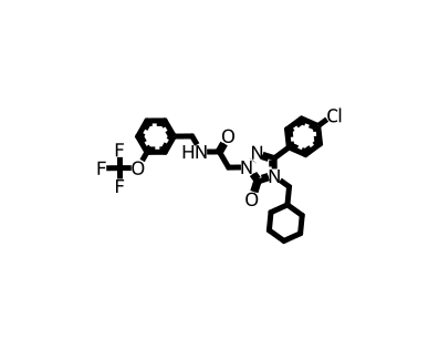 O=C(Cn1nc(-c2ccc(Cl)cc2)n(CC2CCCCC2)c1=O)NCc1cccc(OC(F)(F)F)c1